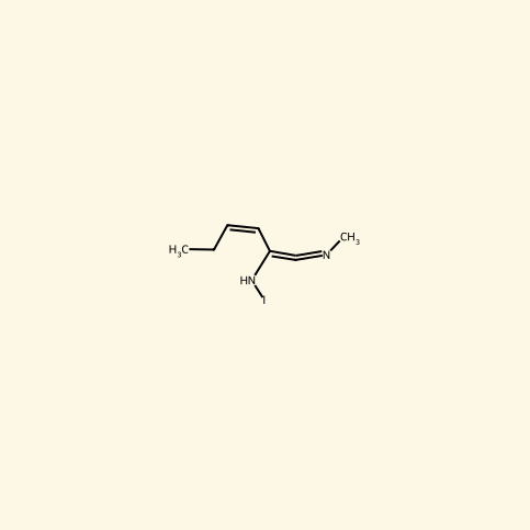 CC/C=C\C(=C=NC)NI